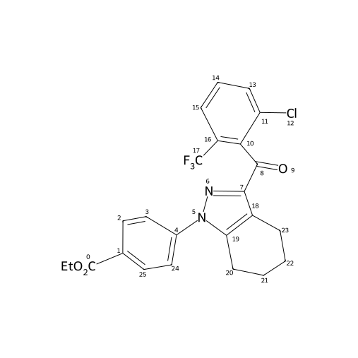 CCOC(=O)c1ccc(-n2nc(C(=O)c3c(Cl)cccc3C(F)(F)F)c3c2CCCC3)cc1